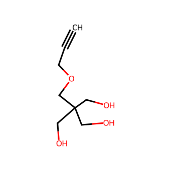 C#CCOCC(CO)(CO)CO